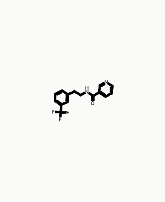 O=C(NCCc1cccc(C(F)(F)F)c1)c1cccnc1